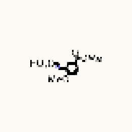 COC(=O)c1ccc(OC)c(/C=C/C(=O)O)c1